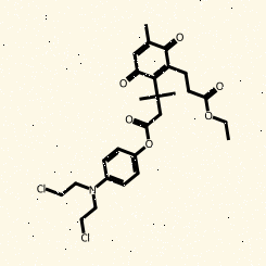 CCOC(=O)CCC1=C(C(C)(C)CC(=O)Oc2ccc(N(CCCl)CCCl)cc2)C(=O)C=C(C)C1=O